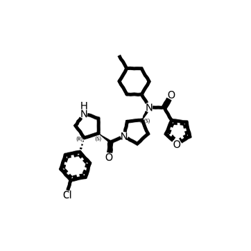 CC1CCC(N(C(=O)c2ccoc2)[C@H]2CCN(C(=O)[C@@H]3CNC[C@H]3c3ccc(Cl)cc3)C2)CC1